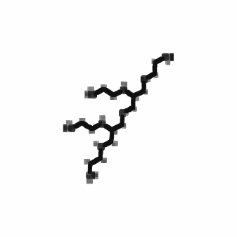 OCCOCC(COCC(COCCO)OCCO)OCCO